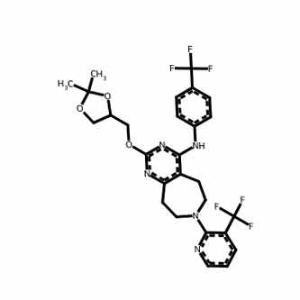 CC1(C)OCC(COc2nc3c(c(Nc4ccc(C(F)(F)F)cc4)n2)CCN(c2ncccc2C(F)(F)F)CC3)O1